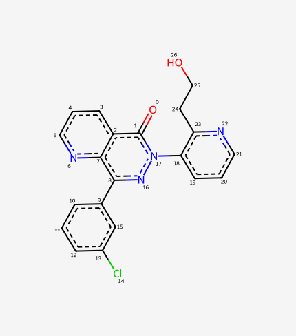 O=c1c2cccnc2c(-c2cccc(Cl)c2)nn1-c1cccnc1CCO